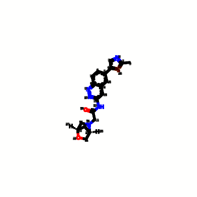 Cc1ncc(-c2ccc3nnc(NC(=O)CN4C[C@H]5C[C@@H]4CO5)cc3c2)s1